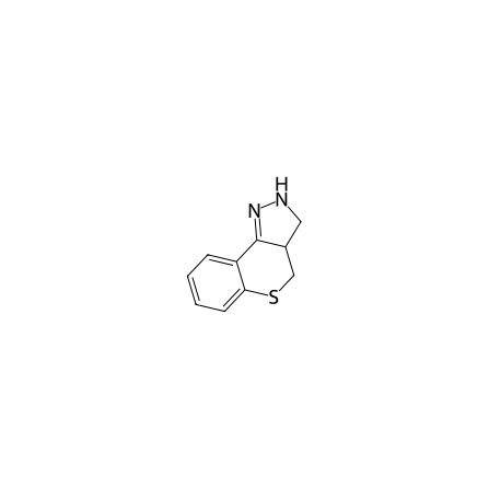 c1ccc2c(c1)SCC1CNN=C21